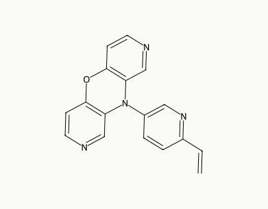 C=Cc1ccc(N2c3cnccc3Oc3ccncc32)cn1